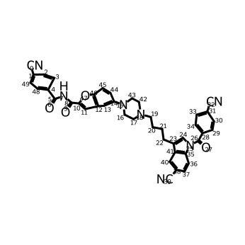 N#Cc1ccc(C(=O)NC(=O)c2cc3cc(N4CCN(CCCCc5cn(C(=O)c6ccc(C#N)cc6)c6ccc(C#N)cc56)CC4)ccc3o2)cc1